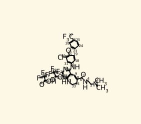 CN(C)CCNC(=O)C1=Cc2c(ncnc2Nc2ccc(Oc3cccc(C(F)(F)F)c3)c(Cl)c2)NCC1.O=C(O)C(F)(F)F.O=C(O)C(F)(F)F